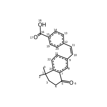 CC1(C)CCC(=O)c2cc(/C=C\c3ccc(C(=O)O)cc3)ccc21